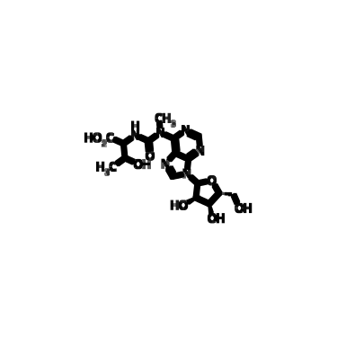 CC(O)C(NC(=O)N(C)c1ncnc2c1ncn2C1O[C@H](CO)[C@@H](O)[C@H]1O)C(=O)O